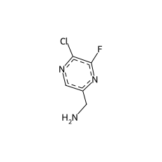 NCc1cnc(Cl)c(F)n1